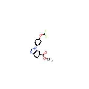 COC(=O)c1ccc2ncn(-c3ccc(OC(F)F)cc3)c2c1